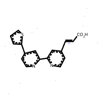 O=C(O)/C=C/c1ccnc(-c2cc(-c3cccs3)ccn2)c1